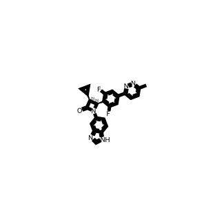 Cc1ccc(-c2cc(F)c([C@@H]3[C@H](C4CC4)C(=O)N3c3ccc4[nH]cnc4c3)c(F)c2)nn1